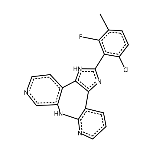 Cc1ccc(Cl)c(-c2nc3c([nH]2)-c2ccncc2Nc2ncccc2-3)c1F